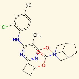 [C-]#[N+]c1ccc(Nc2ncnc(OCC3C4CCC3CN(C(=O)OC3CCC3)C4)c2C)c(Cl)c1